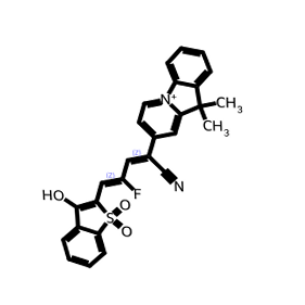 CC1(C)c2ccccc2-[n+]2ccc(/C(C#N)=C/C(F)=C/C3=C(O)c4ccccc4S3(=O)=O)cc21